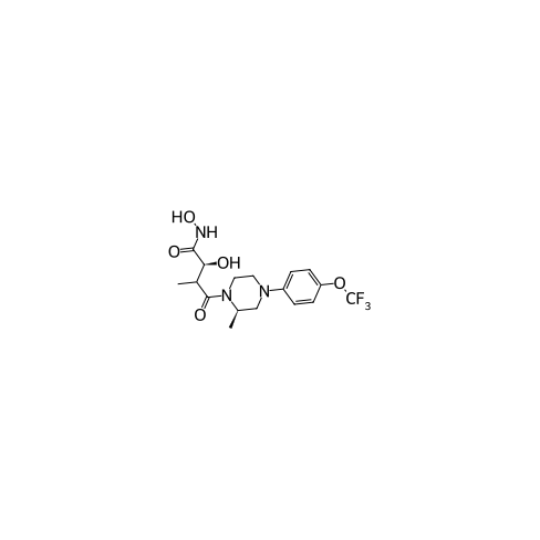 CC(C(=O)N1CCN(c2ccc(OC(F)(F)F)cc2)C[C@H]1C)[C@H](O)C(=O)NO